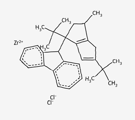 CC1CC(C2c3ccccc3-c3ccccc32)(C(C)(C)C)C2=C1CC(C(C)(C)C)=C2.[Cl-].[Cl-].[Zr+2]